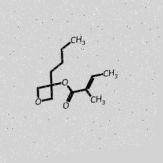 CC=C(C)C(=O)OC1(CCCC)COC1